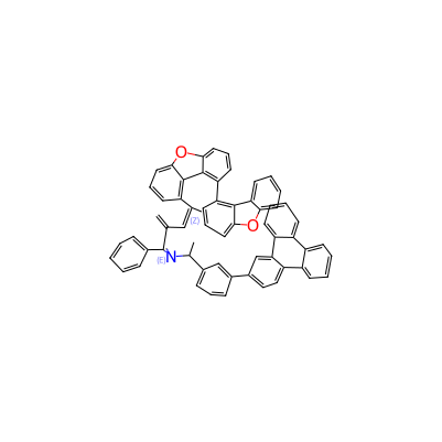 C=C(/C=C(/C)c1cccc2oc3cccc(-c4cccc5oc6ccccc6c45)c3c12)/C(=N\C(C)c1cccc(-c2ccc3c4ccccc4c4ccccc4c3c2)c1)c1ccccc1